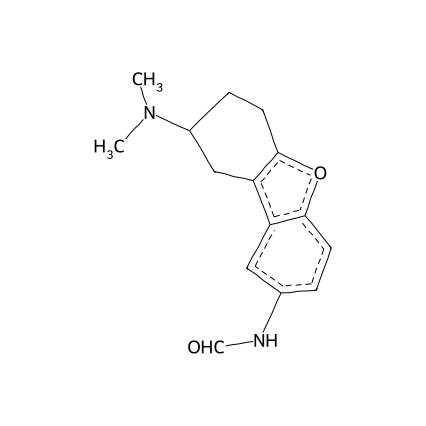 CN(C)C1CCc2oc3ccc(NC=O)cc3c2C1